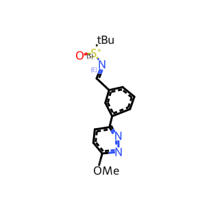 COc1ccc(-c2cccc(/C=N/[S@+]([O-])C(C)(C)C)c2)nn1